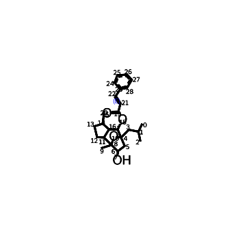 CC(C)CC12CC(O)C(C)(O1)C1CCC(C)C1C2OC(=O)/C=C/c1ccccc1